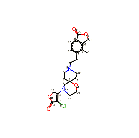 Cc1c(CCN2CCC3(CC2)CN(C2=C(Cl)C(=O)OC2)CCO3)ccc2c1COC2=O